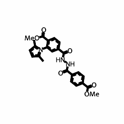 COC(=O)c1ccc(C(=O)NNC(=O)c2ccc(C(=O)OC)c(-n3c(C)ccc3C)c2)cc1